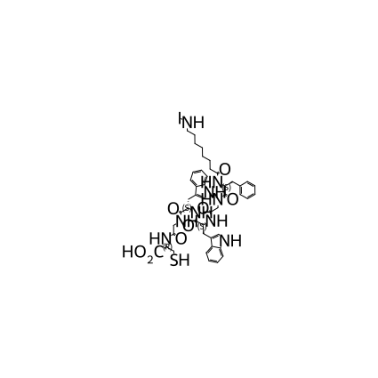 O=C(CNC(=O)[C@H](Cc1c[nH]c2ccccc12)NC(=O)[C@H](Cc1c[nH]c2ccccc12)NC(=O)CNC(=O)[C@H](Cc1ccccc1)NC(=O)CCCCCCCNI)N[C@@H](CS)C(=O)O